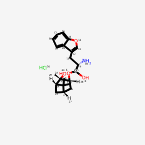 CC1(C)[C@@H]2C[C@@H](OB(O)[C@@H](N)Cc3coc4ccccc34)[C@@](C)(O)[C@H]1C2.Cl